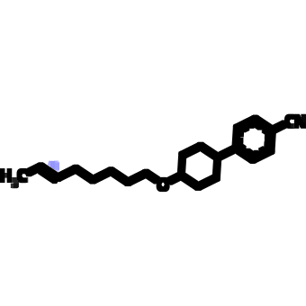 C/C=C/CCCCCOC1CCC(c2ccc(C#N)cc2)CC1